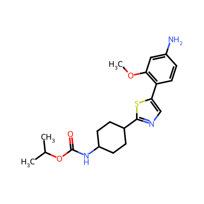 COc1cc(N)ccc1-c1cnc(C2CCC(NC(=O)OC(C)C)CC2)s1